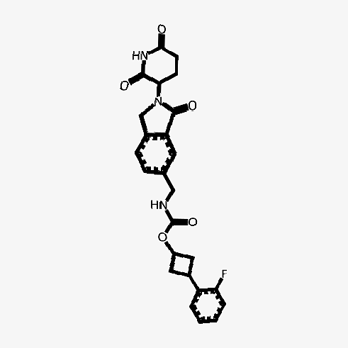 O=C1CCC(N2Cc3ccc(CNC(=O)OC4CC(c5ccccc5F)C4)cc3C2=O)C(=O)N1